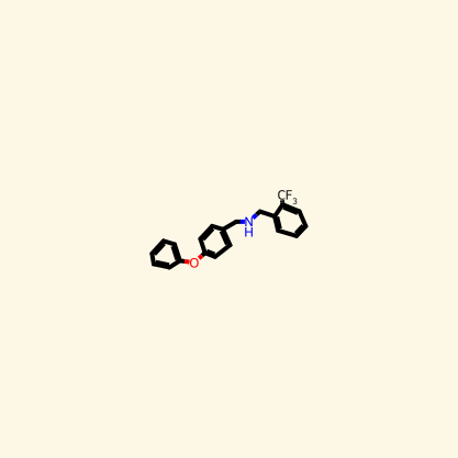 FC(F)(F)c1ccccc1CNCc1ccc(Oc2ccccc2)cc1